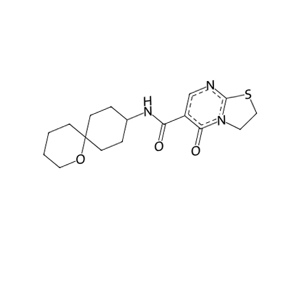 O=C(NC1CCC2(CCCCO2)CC1)c1cnc2n(c1=O)CCS2